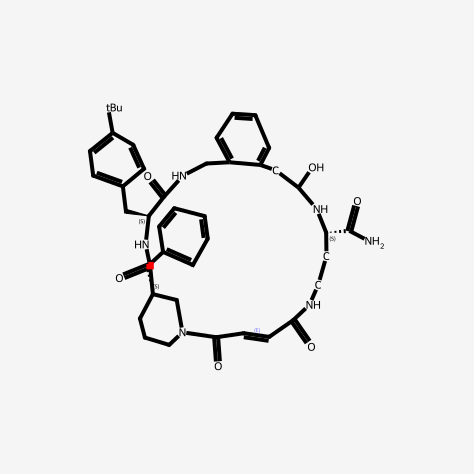 CC(C)(C)c1ccc(C[C@@H]2NC(=O)[C@]3(Cc4ccccc4)CCCN(C3)C(=O)/C=C/C(=O)NCC[C@@H](C(N)=O)NC(O)Cc3ccccc3CNC2=O)cc1